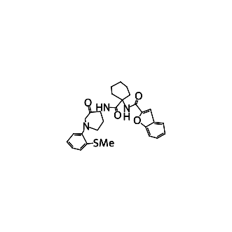 CSc1ccccc1N1CCC(NC(=O)C2(NC(=O)c3cc4ccccc4o3)CCCCC2)C(=O)C1